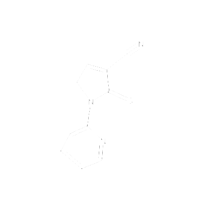 N#CC1=CCN(c2ccccn2)C1=S